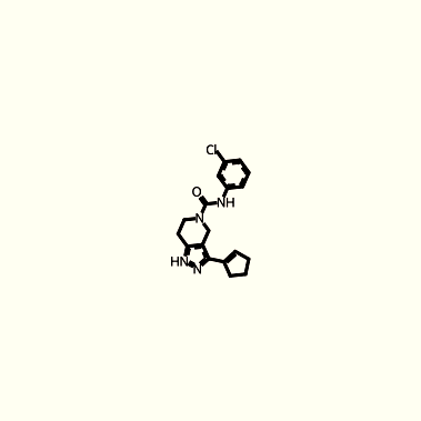 O=C(Nc1cccc(Cl)c1)N1CCc2[nH]nc(C3=CCCC3)c2C1